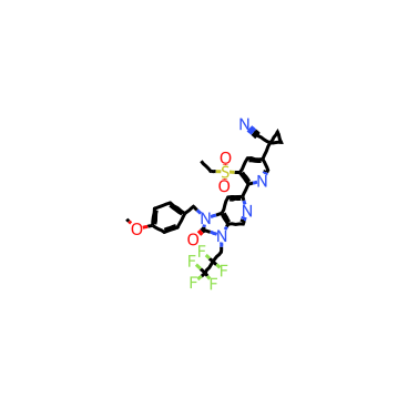 CCS(=O)(=O)c1cc(C2(C#N)CC2)cnc1-c1cc2c(cn1)n(CC(F)(F)C(F)(F)F)c(=O)n2Cc1ccc(OC)cc1